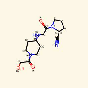 N#C[C@@H]1CCCN1C(=O)CNC1CCN(C(=O)CO)CC1